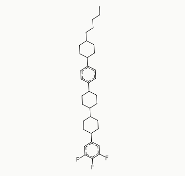 CCCCCC1CCC(c2ccc(C3CCC(C4CCC(c5cc(F)c(F)c(F)c5)CC4)CC3)cc2)CC1